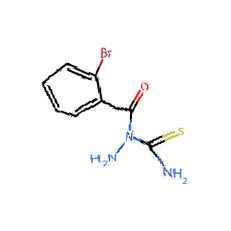 NC(=S)N(N)C(=O)c1ccccc1Br